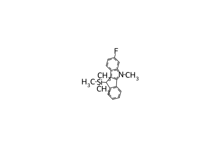 Cn1c2c(c3ccc(F)cc31)C([Si](C)(C)C)c1ccccc1-2